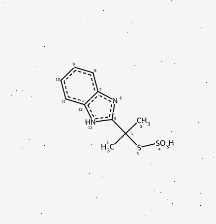 CC(C)(SS(=O)(=O)O)c1nc2ccccc2[nH]1